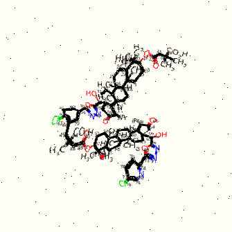 CC(C)C1=C2[C@H]3CC[C@@H]4[C@@]5(C)CC[C@H](OC(=O)CC(C)(C)C(=O)O)C(C)(C)[C@@H]5CC[C@@]4(C)[C@]3(C)CC[C@@]2([C@H](O)c2nnc(-c3ccc(Cl)c(CC(C)(CC(=O)O[C@H]4CC[C@]5(C)[C@H]6CC[C@@H]7C8=C(C(C)C)C(=O)C[C@]8([C@@H](O)c8nnc(-c9ccc(Cl)cn9)o8)CC[C@@]7(C)[C@]6(C)CC[C@H]5C4(C)C)C(=O)O)c3)o2)CC1=O